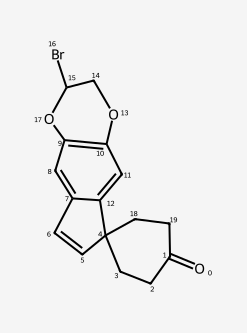 O=C1CCC2(C=Cc3cc4c(cc32)OCC(Br)O4)CC1